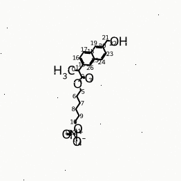 CC(C(=O)OCCCCCCO[N+](=O)[O-])c1ccc2cc(CO)ccc2c1